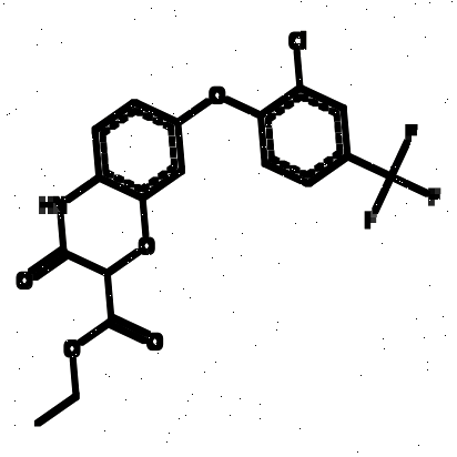 CCOC(=O)C1Oc2cc(Oc3ccc(C(F)(F)F)cc3Cl)ccc2NC1=O